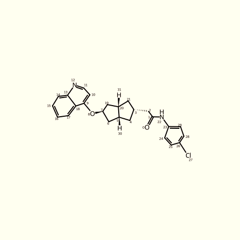 O=C(C[C@@H]1C[C@@H]2C[C@@H](Oc3ccnc4ccccc34)C[C@@H]2C1)Nc1ccc(Cl)cc1